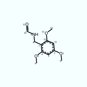 COc1cc(OC)c(CN[C]=O)c(OC)c1